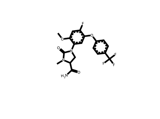 COc1cc(F)c(Oc2ccc(C(F)(F)F)cc2)cc1N1CC(C(N)=O)N(C)C1=O